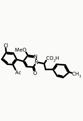 COc1nn(C(Cc2ccc(C)cc2)C(=O)O)c(=O)cc1-c1cc(Cl)ccc1C(C)=O